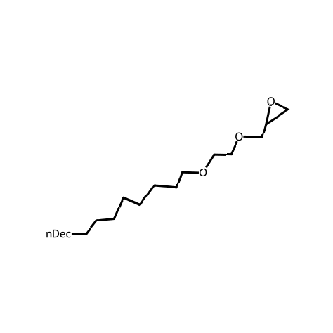 CCCCCCCCCCCCCCCCCCOCCOCC1CO1